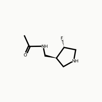 CC(=O)NC[C@@H]1CNC[C@H]1F